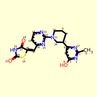 Cc1nc(O)cc(C2CCCN(c3nccc(C=C4SC(=O)NC4=O)n3)C2)n1